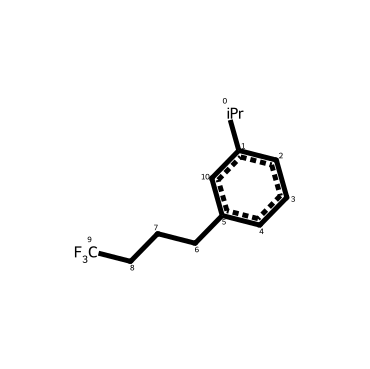 CC(C)c1cccc(CCCC(F)(F)F)c1